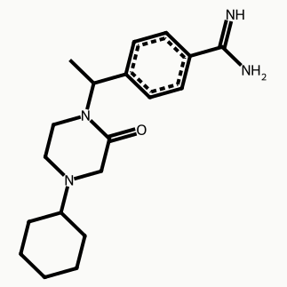 CC(c1ccc(C(=N)N)cc1)N1CCN(C2CCCCC2)CC1=O